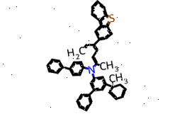 C=C/C(=C\C=C(/C)N(c1ccc(-c2ccccc2)cc1)c1cc(-c2ccccc2)cc([C@]2(C)C=CC=CC2)c1)c1ccc2sc3ccccc3c2c1